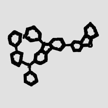 c1ccc(-c2cccc(N(c3ccccc3)c3ccc4c5cc(-c6ccc7oc8ccccc8c7c6)ccc5n(-c5cccnc5)c4c3)c2)cc1